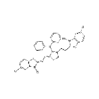 CCN1/C(=C/C=C2\CCC(/C=C/C3Sc4ccc(Cl)cc4N3CC)=C2N(c2ccccc2)c2ccccc2)Sc2ccc(Cl)cc21